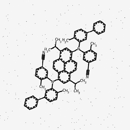 Cc1ccc(C#N)cc1N(c1cc(-c2ccccc2)ccc1C)c1cc(C(C)C)c2ccc3c(N(c4cc(C#N)ccc4C)c4cc(-c5ccccc5)ccc4C)cc(C(C)C)c4ccc1c2c43